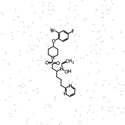 C=CN(O)C(CCCc1ncccn1)CS(=O)(=O)N1CCC(Oc2ccc(F)cc2Br)CC1